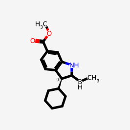 CBC1Nc2cc(C(=O)OC)ccc2[C@@H]1C1CCCCC1